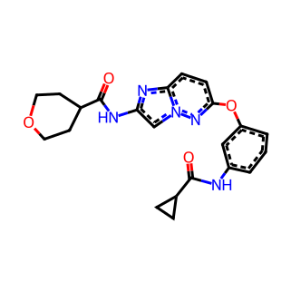 O=C(Nc1cccc(Oc2ccc3nc(NC(=O)C4CCOCC4)cn3n2)c1)C1CC1